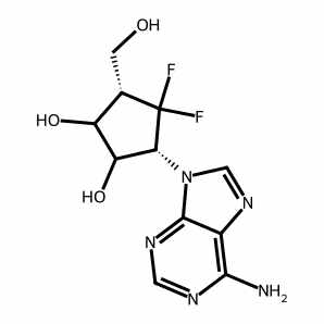 Nc1ncnc2c1ncn2[C@@H]1C(O)C(O)[C@H](CO)C1(F)F